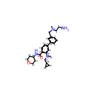 CN(CCN)Cc1cccc(-c2ccc(C(=O)NC3CCOCC3)c(N(C)CC3CC3)c2)c1